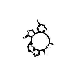 CC1CCc2ncc(F)cc2C2COC(=O)N2c2ccn3ncc(c3n2)C(=O)N1